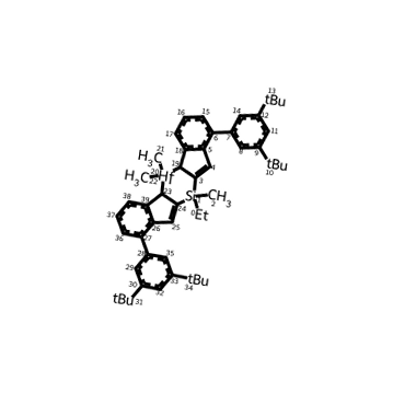 CC[Si]1(C)C2=Cc3c(-c4cc(C(C)(C)C)cc(C(C)(C)C)c4)cccc3[CH]2[Hf]([CH3])([CH3])[CH]2C1=Cc1c(-c3cc(C(C)(C)C)cc(C(C)(C)C)c3)cccc12